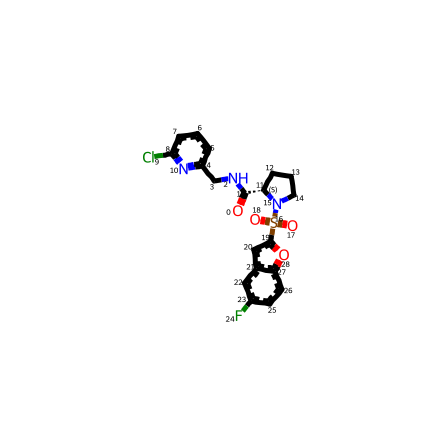 O=C(NCc1cccc(Cl)n1)[C@@H]1CCCN1S(=O)(=O)c1cc2cc(F)ccc2o1